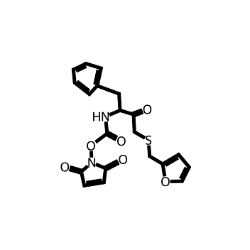 O=C(NC(Cc1ccccc1)C(=O)CSCc1ccco1)ON1C(=O)C=CC1=O